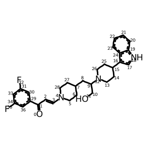 O=C(C=CN1CCC(CC(CO)N2CCC(c3c[nH]c4ccccc34)CC2)CC1)c1cc(F)cc(F)c1